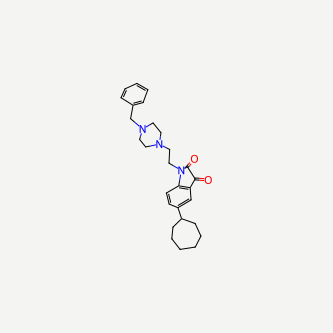 O=C1C(=O)N(CCN2CCN(Cc3ccccc3)CC2)c2ccc(C3CCCCCC3)cc21